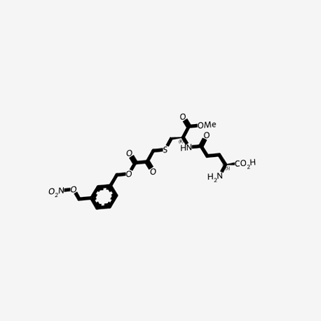 COC(=O)[C@H](CSCC(=O)C(=O)OCc1cccc(CO[N+](=O)[O-])c1)NC(=O)CC[C@H](N)C(=O)O